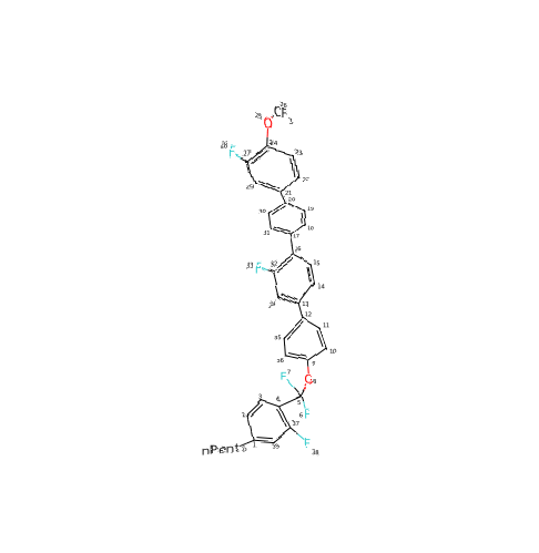 CCCCCc1ccc(C(F)(F)Oc2ccc(-c3ccc(-c4ccc(-c5ccc(OC(F)(F)F)c(F)c5)cc4)c(F)c3)cc2)c(F)c1